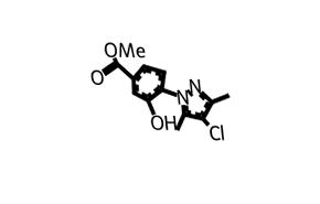 COC(=O)c1ccc(-n2nc(C)c(Cl)c2C)c(O)c1